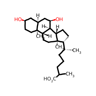 CC(CCC[C@@H](C)[C@H]1CC[C@H]2[C@@H]3[C@H](O)C[C@@H]4C[C@H](O)CC[C@]4(C)[C@H]3CC[C@]12C)C(=O)O